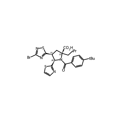 CC(C)C[C@@]1(C(=O)O)C[C@H](c2nc(Br)ns2)[C@H](c2nccs2)N1C(=O)c1ccc(C(C)(C)C)cc1